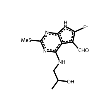 CCc1[nH]c2nc(SC)nc(NCC(C)O)c2c1C=O